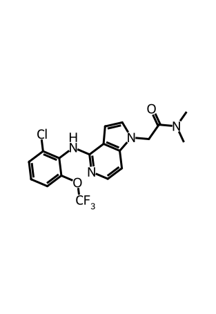 CN(C)C(=O)Cn1ccc2c(Nc3c(Cl)cccc3OC(F)(F)F)nccc21